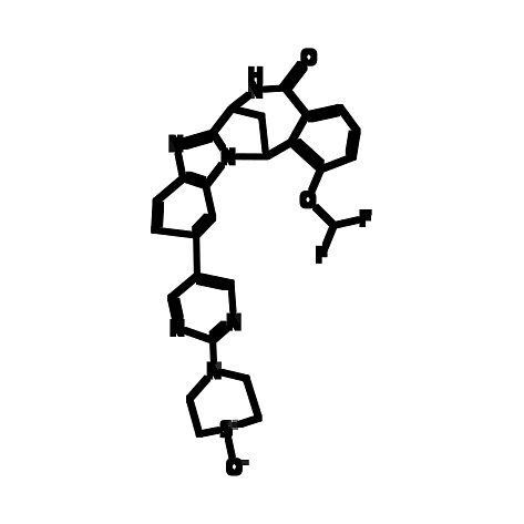 O=C1NC2CC(c3c(OC(F)F)cccc31)n1c2nc2ccc(-c3cnc(N4CC[S+]([O-])CC4)nc3)cc21